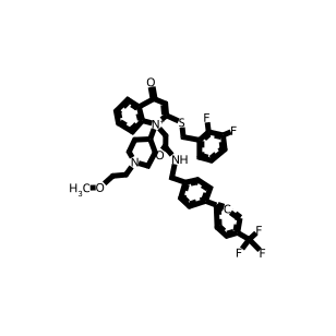 COCCN1CCC([N+]2(CC(=O)NCc3ccc(-c4ccc(C(F)(F)F)cc4)cc3)C(SCc3cccc(F)c3F)=CC(=O)c3ccccc32)CC1